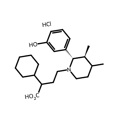 CC1CCN(CCC(C(=O)O)C2CCCCC2)[C@H](c2cccc(O)c2)[C@H]1C.Cl